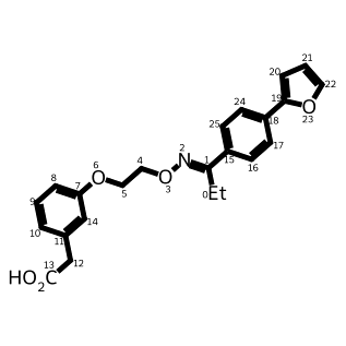 CC/C(=N\OCCOc1cccc(CC(=O)O)c1)c1ccc(-c2ccco2)cc1